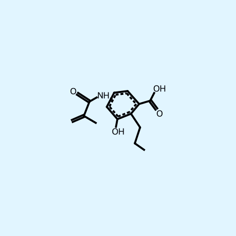 C=C(C)C(N)=O.CCCc1c(O)cccc1C(=O)O